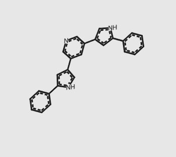 c1ccc(-c2cc(-c3cncc(-c4c[nH]c(-c5ccccc5)c4)c3)c[nH]2)cc1